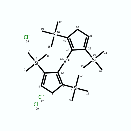 C[Si](C)(C)C1=CCC([Si](C)(C)C)=[C]1[V+3][C]1=C([Si](C)(C)C)CC=C1[Si](C)(C)C.[Cl-].[Cl-].[Cl-]